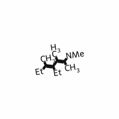 CC/C(C)=C(CC)/C(C)=C(\C)NC